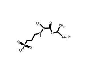 CCOC(=O)C(C)OC(=O)N(C)NCCCS(C)(=O)=O